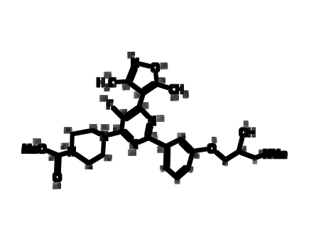 CNCC(O)COc1cccc(-c2nc(-c3c(C)noc3C)c(F)c(N3CCN(C(=O)OC)CC3)n2)c1